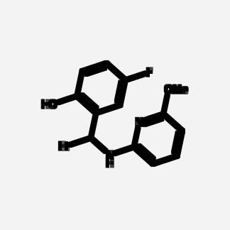 CCC(Nc1cccc(OC)n1)c1cc(F)ccc1O